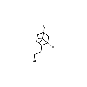 CC1(C)[C@H]2CCC(CCO)[C@@H]1C2